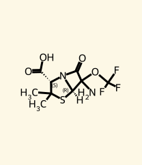 CC1(C)S[C@H]2N(C(=O)C2(N)OC(F)(F)F)[C@H]1C(=O)O